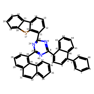 c1ccc(-c2ccc(-c3nc(-c4cccc5c4sc4ccccc45)nc(-c4cccc5ccc6ccccc6c45)n3)c3ccccc23)cc1